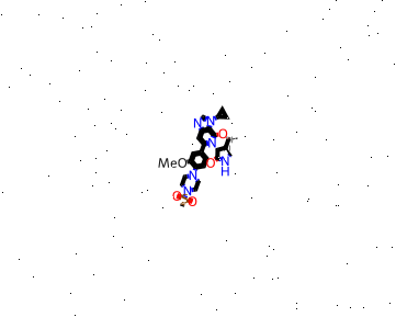 COc1cc(-c2cc3ncn(C4CC4)c3c(O[C@H](C)[C@H]3CNC(=O)C3)n2)ccc1N1CCN(S(C)(=O)=O)CC1